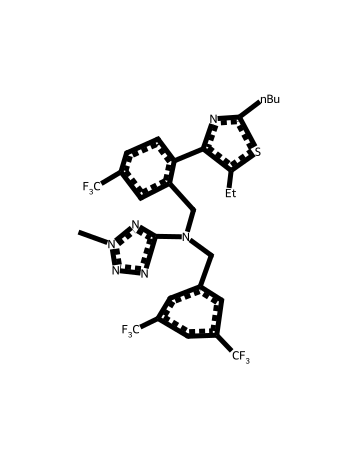 CCCCc1nc(-c2ccc(C(F)(F)F)cc2CN(Cc2cc(C(F)(F)F)cc(C(F)(F)F)c2)c2nnn(C)n2)c(CC)s1